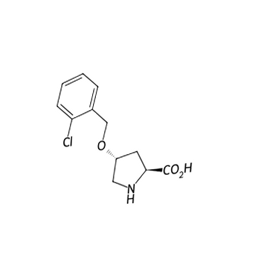 O=C(O)[C@@H]1C[C@@H](OCc2ccccc2Cl)CN1